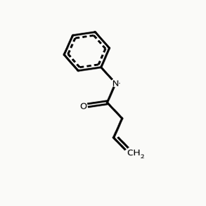 C=CCC(=O)[N]c1ccccc1